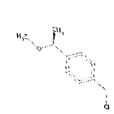 CO[C@@H](C)c1ccc(CCl)cc1